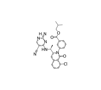 CC(C)COC(=O)c1cccc(-n2c([C@H](C)Nc3nc(N)ncc3C#N)cc3cccc(Cl)c3c2=O)c1